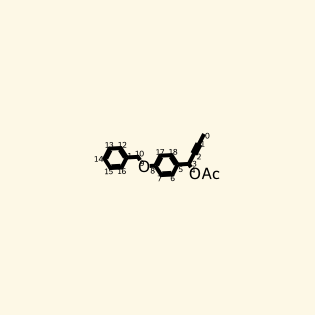 CC#CC(OC(C)=O)c1ccc(OCc2ccccc2)cc1